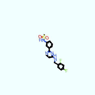 CS(=O)(=O)Nc1cccc(-c2nccc(NCc3ccc(F)cc3F)n2)c1